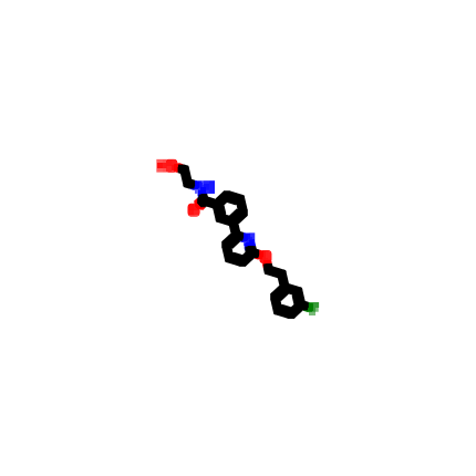 O=C(NCCO)c1cccc(-c2cccc(OCCc3cccc(F)c3)n2)c1